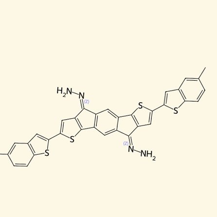 Cc1ccc2sc(-c3cc4/c(=N\N)c5cc6c(cc5c4s3)/c(=N/N)c3cc(-c4cc5cc(C)ccc5s4)sc36)cc2c1